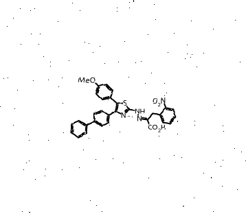 COc1ccc(-c2sc(N/N=C(\Cc3ccccc3[N+](=O)[O-])C(=O)O)nc2-c2ccc(-c3ccccc3)cc2)cc1